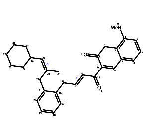 CNc1cccc2c1CC(=O)C(C(=O)/C=C/Cc1ccccc1C/C(C)=C\C1CCCCC1)=C2